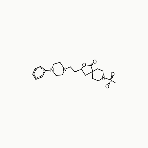 CS(=O)(=O)N1CCC2(CC1)C[C@@H](CCN1CCN(c3ccccc3)CC1)OC2=O